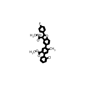 CNC(=O)C1c2cc(-c3cc(C(=O)OC)c(-c4ccccc4Cl)cc3C)ccc2OC1c1ccc(F)cc1